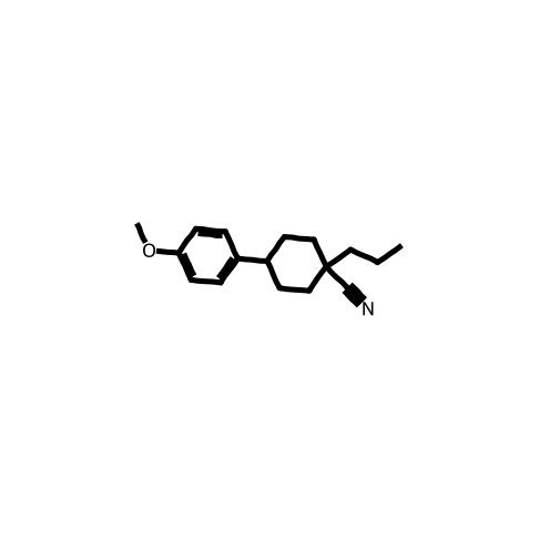 CCCC1(C#N)CCC(c2ccc(OC)cc2)CC1